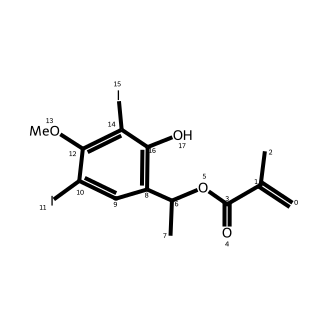 C=C(C)C(=O)OC(C)c1cc(I)c(OC)c(I)c1O